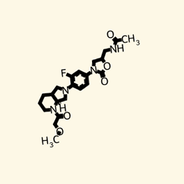 COCC(=O)N1CCCC2CN(c3ccc(N4CC(CNC(C)=O)OC4=O)cc3F)C[C@H]21